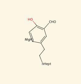 CCCCCCCCCc1ccc(O)c(C=O)c1.[MgH2]